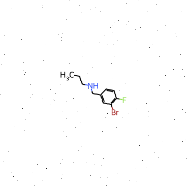 CCCNCc1ccc(F)c(Br)c1